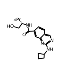 CCC[C@@H](CO)NC(=O)c1ccc2cnc(NC3CCC3)nc2c1